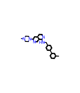 Cc1cccc(-c2ccc(CNc3nccc4cc(N5CCN(C)CC5)ncc34)cc2)c1